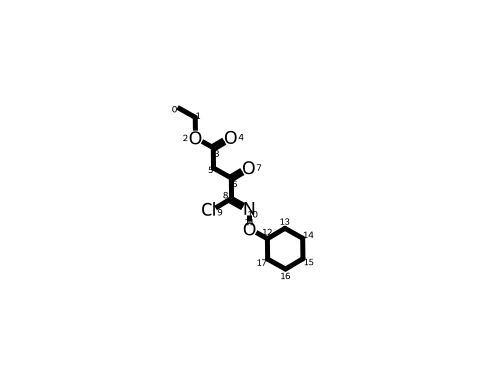 CCOC(=O)CC(=O)/C(Cl)=N/OC1CCCCC1